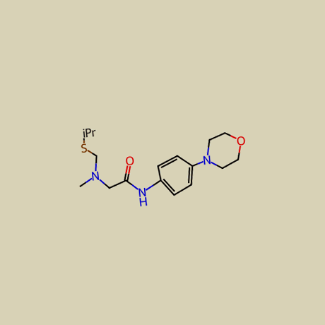 CC(C)SCN(C)CC(=O)Nc1ccc(N2CCOCC2)cc1